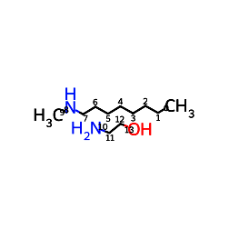 CCCCCCCCNC.NCCO